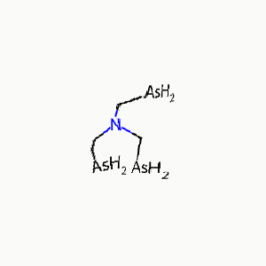 [AsH2]CN(C[AsH2])C[AsH2]